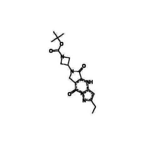 CCc1cc2[nH]c3c(c(=O)n2n1)CN(C1CN(C(=O)OC(C)(C)C)C1)C3=O